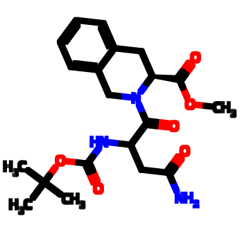 COC(=O)[C@@H]1Cc2ccccc2CN1C(=O)C(CC(N)=O)NC(=O)OC(C)(C)C